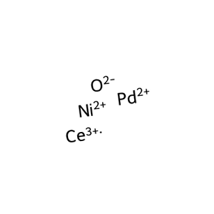 [Ce+3].[Ni+2].[O-2].[Pd+2]